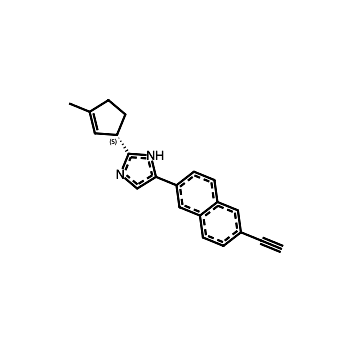 C#Cc1ccc2cc(-c3cnc([C@@H]4C=C(C)CC4)[nH]3)ccc2c1